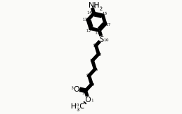 COC(=O)CCCCCCSc1ccc(N)cc1